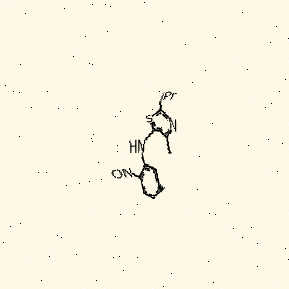 Cc1nc(C(C)C)sc1Nc1ccccc1N=O